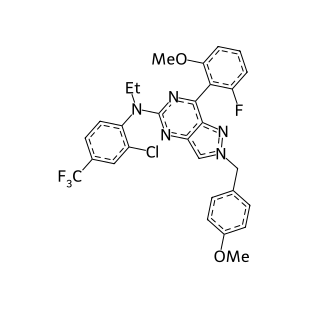 CCN(c1nc(-c2c(F)cccc2OC)c2nn(Cc3ccc(OC)cc3)cc2n1)c1ccc(C(F)(F)F)cc1Cl